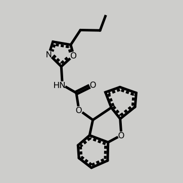 CCCc1cnc(NC(=O)OC2c3ccccc3Oc3ccccc32)o1